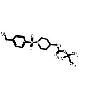 BCc1ccc(S(=O)(=O)N2CCC(NC(=O)OC(C)(C)C)CC2)cc1